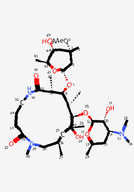 CO[C@]1(C)C[C@H](O[C@H]2[C@H](C)[C@@H](O[C@@H]3O[C@H](C)C[C@H](N(C)C)[C@H]3O)[C@](C)(O)C[C@@H](C)CN(C)C(=O)CCCNC(=O)[C@@H]2C)O[C@@H](C)[C@@H]1O